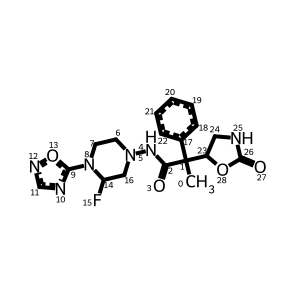 CC(C(=O)NN1CCN(c2ncno2)C(F)C1)(c1ccccc1)C1CNC(=O)O1